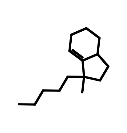 CCCCCC1(C)CCC2CCCC=C21